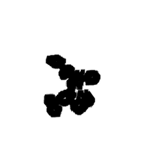 c1ccc(-c2ccc(-c3cc(-c4cc(-c5cccc6ccccc56)cc(-c5cccc6cccnc56)c4)nc(-c4ccccc4)n3)cc2)cc1